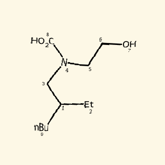 CCCCC(CC)CN(CCO)C(=O)O